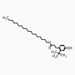 CCCCCCCCCCCCCCCCCCOC(=O)CCc1ccc(O)cc1C(C)(C)C